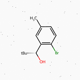 Cc1ccc(Br)c([C@H](O)C(C)(C)C)c1